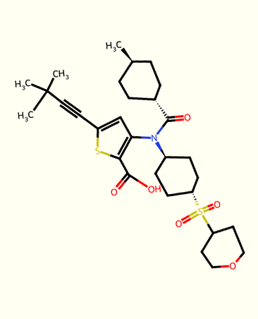 CC(C)(C)C#Cc1cc(N(C(=O)[C@H]2CC[C@H](C)CC2)[C@H]2CC[C@H](S(=O)(=O)C3CCOCC3)CC2)c(C(=O)O)s1